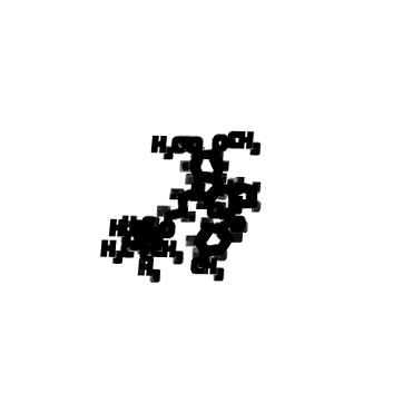 COc1cc2c(-c3cccn3S(=O)(=O)c3ccc(C)cc3)cn(CCCO[Si](C)(C)C(C)(C)C)c2cc1OC